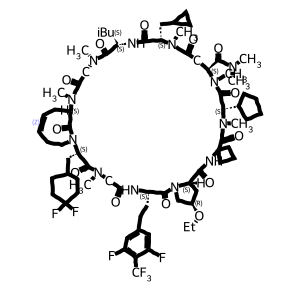 CCO[C@@H]1C[C@H]2C(=O)NC3(CCC3)C(=O)N(C)[C@@H](C3CCCC3)C(=O)N(C)[C@H](C(=O)N(C)C)CC(=O)N(C)[C@@H](CC3CC3)C(=O)N[C@@H]([C@@H](C)CC)C(=O)N(C)CC(=O)N(C)[C@H]3C/C=C\CCN(C3=O)[C@@H](CC3CCC(F)(F)CC3)C(=O)N(C)CC(=O)N[C@@H](CCc3cc(F)c(C(F)(F)F)c(F)c3)C(=O)N2C1